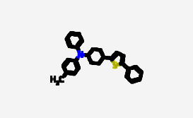 Cc1ccc(N(c2ccccc2)C2CCC(c3ccc(-c4ccccc4)s3)CC2)cc1